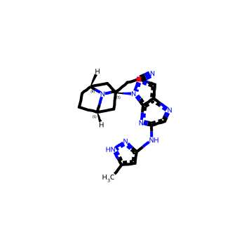 Cc1cc(Nc2cnc3cnn([C@@H]4C[C@H]5CC[C@@H](C4)N5CCC#N)c3n2)n[nH]1